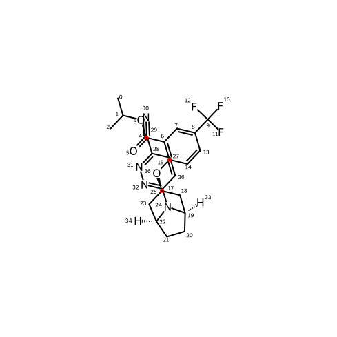 CC(C)OC(=O)c1cc(C(F)(F)F)ccc1O[C@H]1C[C@H]2CC[C@@H](C1)N2c1ccc(C#N)nn1